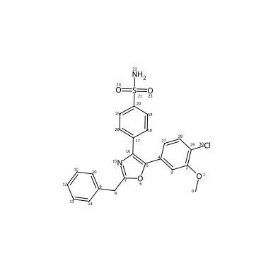 COc1cc(-c2oc(Cc3ccccc3)nc2-c2ccc(S(N)(=O)=O)cc2)ccc1Cl